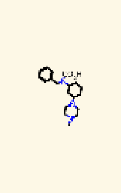 CN1CCN(C2CCCC(N(Cc3ccccc3)C(=O)O)C2)CC1